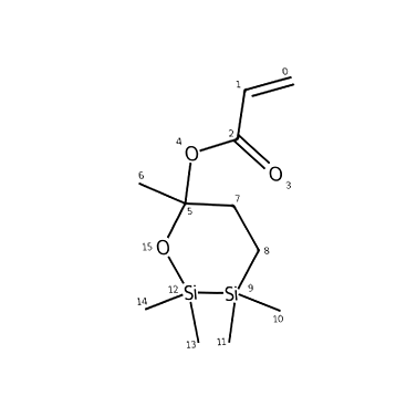 C=CC(=O)OC1(C)CC[Si](C)(C)[Si](C)(C)O1